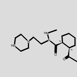 CNN(CCN1CCNCC1)C(=O)[C@H]1CCCC[C@H]1C(C)=O